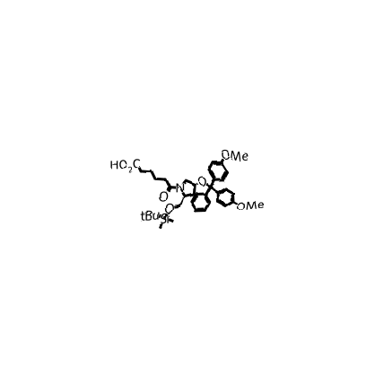 COc1ccc(C(O[C@@H]2C[C@@H](CO[Si](C)(C)C(C)(C)C)N(C(=O)CCCCC(=O)O)C2)(c2ccccc2)c2ccc(OC)cc2)cc1